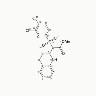 COC(=O)C(C1CCc2ccccc2N1)S(=O)(=O)c1ccc(Cl)c(Cl)c1